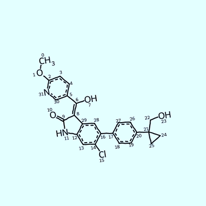 COc1ccc(C(O)=C2C(=O)Nc3cc(Cl)c(-c4ccc(C5(CO)CC5)cc4)cc32)cn1